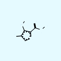 CNc1c(C)csc1C(=O)OC